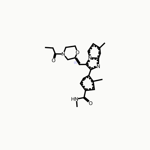 CCC(=O)N1CCO/C(=C\c2c(-c3ccc(C(=O)NC)cc3C)nc3cc(C)ccn23)C1